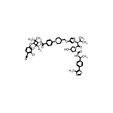 Cc1ncsc1-c1ccc([C@H](C)NC(=O)[C@@H]2C[C@@H](O)CN2C(=O)[C@H](C(C)C)n2cc(OCC3CCN(c4ccc(C(=O)N[C@H]5C(C)(C)[C@H](Oc6ccc(C#N)c(Cl)c6)C5(C)C)cc4)CC3)cn2)cc1